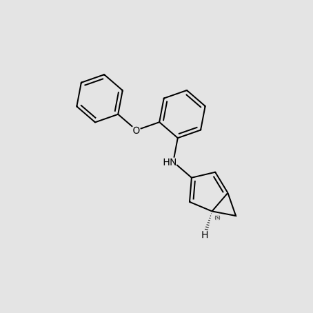 C1=C(Nc2ccccc2Oc2ccccc2)C=C2C[C@@H]12